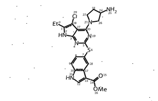 CCc1[nH]c2nc(Sc3ccc4[nH]cc(C(=O)OC)c4c3)nc(N3CCC(N)C3)c2c1Cl